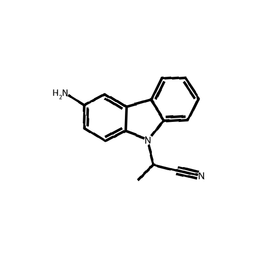 CC(C#N)n1c2ccccc2c2cc(N)ccc21